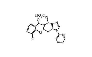 CCOC(=O)OC1c2ncn(-c3ccccn3)c2CCN1C(=O)c1cccc(Cl)c1Cl